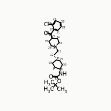 CC(C)(C)OC(=O)N[C@H]1CC[C@H](CCN2CCC(C(=O)c3ccccc3Cl)CC2)CC1